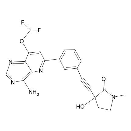 CN1CCC(O)(C#Cc2cccc(-c3cc(OC(F)F)c4ncnc(N)c4n3)c2)C1=O